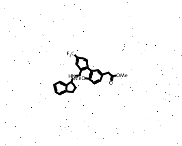 COC(=O)Cc1ccc(OC)c(-c2ccc(C(F)(F)F)cc2CNC2CCc3ccccc32)c1